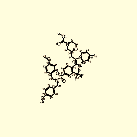 COC(=O)N1CCO[C@@H](Cc2c(-c3ccc(S(=O)(=O)N(Cc4ccc(OC)cc4)Cc4ccc(OC)cc4)cc3C(F)(F)F)nc3cc(C)ccn23)C1